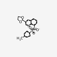 Cc1ccc(S(=O)(=O)[NH+]([O-])c2cccc3cc(C4OCCO4)cnc23)cc1